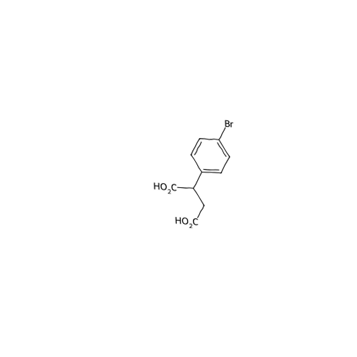 O=C(O)CC(C(=O)O)c1ccc(Br)cc1